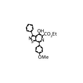 CCOC(=O)c1nc(-c2ccc(OC)cc2)c2snc(-c3ccccc3)c2c1O